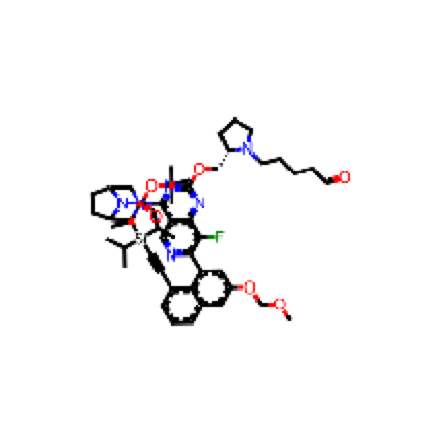 COCOc1cc(-c2ncc3c(N4CC5CCC(C4)N5C(=O)OC(C)(C)C)nc(OC[C@@H]4CCCN4CCCCC=O)nc3c2F)c2c(C#C[Si](C(C)C)(C(C)C)C(C)C)cccc2c1